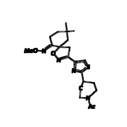 CON=C1CCC(C)(C)CC12CC(c1csc(C3CCN(C(C)=O)CC3)n1)=NO2